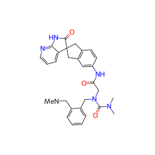 CNCc1ccccc1CN(CC(=O)Nc1ccc2c(c1)CC1(C2)C(=O)Nc2ncccc21)C(=O)N(C)C